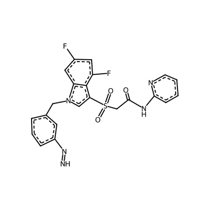 N=Nc1cccc(Cn2cc(S(=O)(=O)CC(=O)Nc3ccccn3)c3c(F)cc(F)cc32)c1